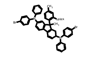 CCCCCCc1cc(C)ccc1C1(C)C2=C(C=CC(N(c3ccccc3)c3ccc(Br)cc3)C2)c2ccc(N(c3ccccc3)c3ccc(Br)cc3)cc21